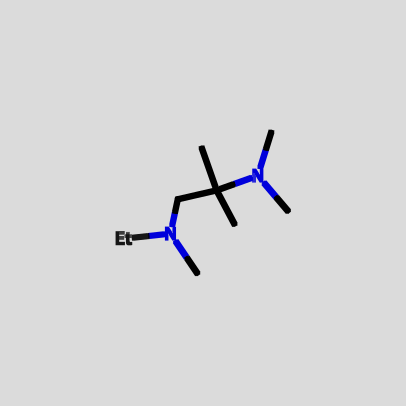 CCN(C)CC(C)(C)N(C)C